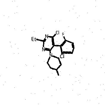 CCc1nc(Cl)c(-c2c(F)cccc2Cl)c(N2CCC(C)CC2)n1